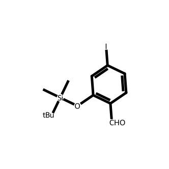 CC(C)(C)[Si](C)(C)Oc1cc(I)ccc1C=O